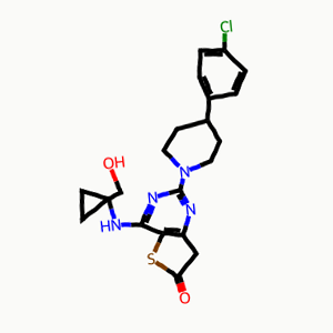 O=C1Cc2nc(N3CCC(c4ccc(Cl)cc4)CC3)nc(NC3(CO)CC3)c2S1